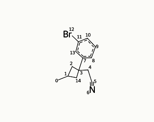 CC1CC(CC#N)(c2cccc(Br)c2)C1